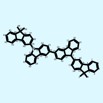 CC1(C)c2ccccc2-c2cc(C3c4ccccc4-c4cc(-c5ccc6c(c5)c5ccccc5n6-c5ccc6c(c5)-c5ccccc5C6(C)C)ccc43)ccc21